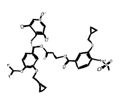 CS(=O)(=O)Nc1ccc(C(=O)OCCC(=O)O[C@@H](Cc2c(Cl)c[n+]([O-])cc2Cl)c2ccc(OC(F)F)c(OCC3CC3)c2)cc1OCC1CC1